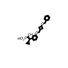 CC(C(=O)O)C(c1cccc(OCC2CC(OCc3ccccc3)C2)c1)C1CC1